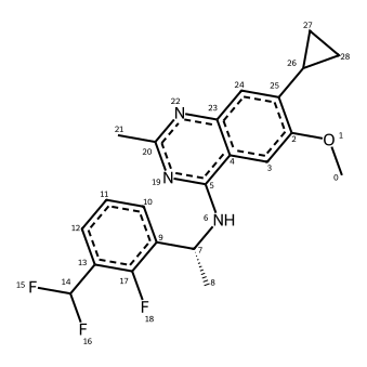 COc1cc2c(N[C@H](C)c3cccc(C(F)F)c3F)nc(C)nc2cc1C1CC1